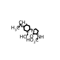 CN(C)[C@@H]1CC[C@H](N2CC[C@H](NC(=O)O)C2=O)[C@@H](CO)C1